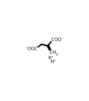 C=C(CC(=O)[O-])C(=O)[O-].[H+].[K+]